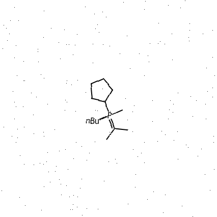 CCCCP(C)(=C(C)C)C1CCCC1